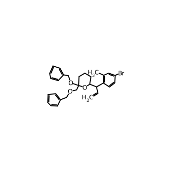 C=CC(c1ccc(Br)cc1C)C1CCCC(COCc2ccccc2)(OCc2ccccc2)O1